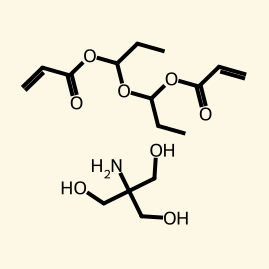 C=CC(=O)OC(CC)OC(CC)OC(=O)C=C.NC(CO)(CO)CO